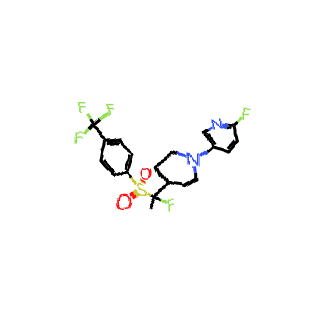 CC(F)(C1CCN(c2ccc(F)nc2)CC1)S(=O)(=O)c1ccc(C(F)(F)F)cc1